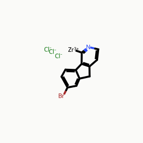 Brc1ccc2c(c1)Cc1ccn[c]([Zr+3])c1-2.[Cl-].[Cl-].[Cl-]